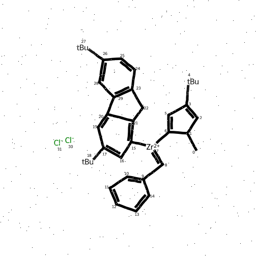 CC1C=C(C(C)(C)C)C=[C]1/[Zr+2](=[CH]/c1ccccc1)[c]1cc(C(C)(C)C)cc2c1Cc1ccc(C(C)(C)C)cc1-2.[Cl-].[Cl-]